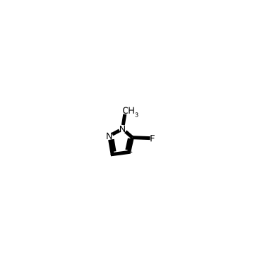 Cn1nc[c]c1F